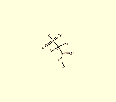 COC(=O)C(C)(C)S(C)(=O)=O